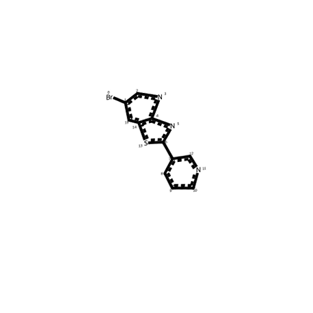 Brc1cnc2nc(-c3cccnc3)sc2c1